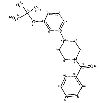 CC(C)(Oc1cccc(N2CCN(C(=O)c3ccncc3)CC2)c1)C(=O)O